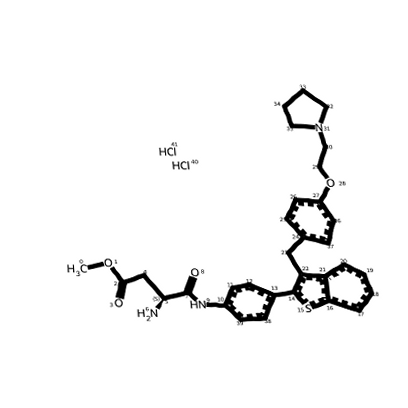 COC(=O)C[C@H](N)C(=O)Nc1ccc(-c2sc3ccccc3c2Cc2ccc(OCCN3CCCC3)cc2)cc1.Cl.Cl